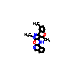 CCn1nc(-c2cccc(C)c2)c(C(C)=O)c(Nc2cncc3ccccc23)c1=O